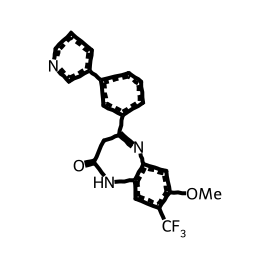 COc1cc2c(cc1C(F)(F)F)NC(=O)CC(c1cccc(-c3cccnc3)c1)=N2